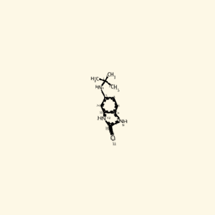 CC(C)(C)Nc1ccc2[nH]c(=O)[nH]c2c1